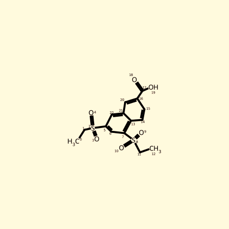 CCS(=O)(=O)c1cc(S(=O)(=O)CC)c2ccc(C(=O)O)cc2c1